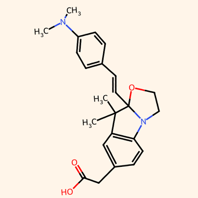 CN(C)c1ccc(/C=C/C23OCCN2c2ccc(CC(=O)O)cc2C3(C)C)cc1